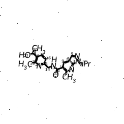 Cc1nc2c(cnn2C(C)C)cc1C(=O)NCc1ccc([C@H](C)O)c(C)n1